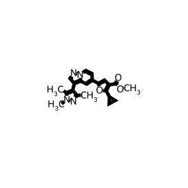 COC(=O)c1cc(-c2ccn3ncc(-c4c(C)nn(C)c4C)c3c2)oc1C1CC1